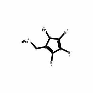 CCCCCCC1=C(Br)C(Br)=C(Br)C1Br